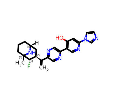 C=C(c1cnc(-c2cnc(-n3ccnc3)cc2O)cn1)[C@@H]1C[C@H]2CCC[C@](C)(N2)[C@H]1F